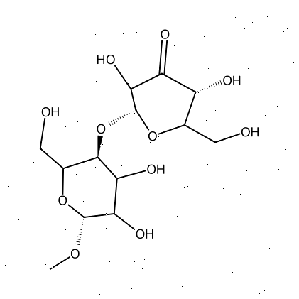 CO[C@@H]1OC(CO)[C@@H](O[C@H]2OC(CO)[C@@H](O)C(=O)C2O)C(O)C1O